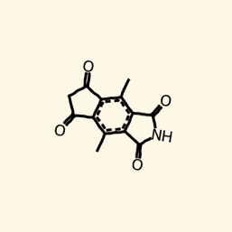 Cc1c2c(c(C)c3c1C(=O)NC3=O)C(=O)CC2=O